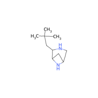 CC(C)(C)CC1NCC2CC1N2